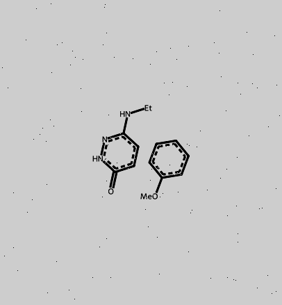 CCNc1ccc(=O)[nH]n1.COc1ccccc1